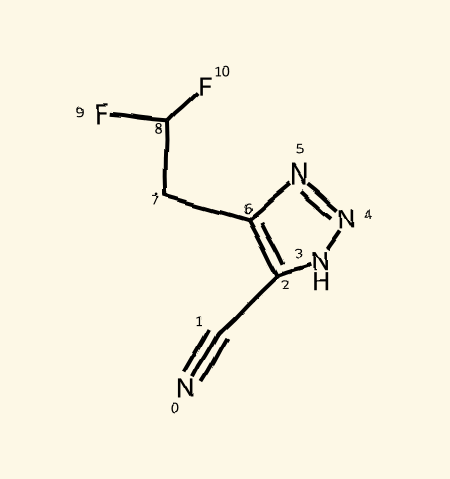 N#Cc1[nH]nnc1[CH]C(F)F